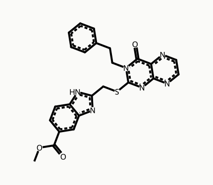 COC(=O)c1ccc2[nH]c(CSc3nc4nccnc4c(=O)n3CCc3ccccc3)nc2c1